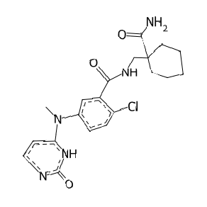 CN(c1ccc(Cl)c(C(=O)NCC2(C(N)=O)CCCCC2)c1)c1ccnc(=O)[nH]1